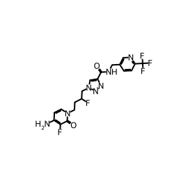 Nc1ccn(CCC(F)Cn2cc(C(=O)NCc3ccc(C(F)(F)F)nc3)nn2)c(=O)c1F